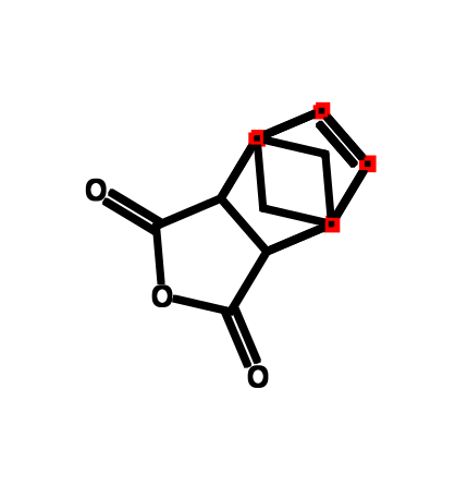 O=C1OC(=O)C23C4C=CC(C4)C12C1C=CC3C1